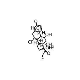 C[C@]12C=CC(=O)C=C1CC(Cl)[C@@H]1[C@@H]2C(O)C[C@@]2(C)[C@H]1CC[C@]2(O)C(=O)CF